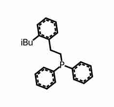 CCC(C)c1ccccc1CCP(c1ccccc1)c1ccccc1